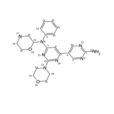 Nc1ncc(-c2cc(N(c3ccccc3)C3C[N]CCO3)nc(N3CCOCC3)n2)cn1